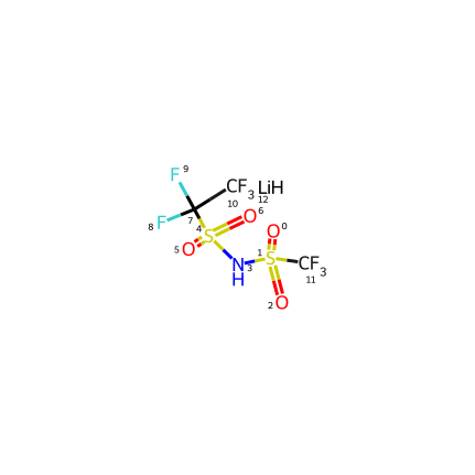 O=S(=O)(NS(=O)(=O)C(F)(F)C(F)(F)F)C(F)(F)F.[LiH]